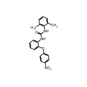 Cc1cccc(C)c1NC(=O)Nc1ccccc1Oc1ccc([N+](=O)[O-])cc1